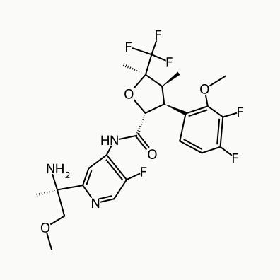 COC[C@@](C)(N)c1cc(NC(=O)[C@@H]2O[C@@](C)(C(F)(F)F)[C@@H](C)[C@H]2c2ccc(F)c(F)c2OC)c(F)cn1